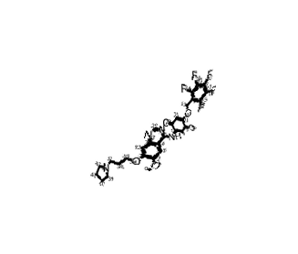 COc1cc2c(NC3=CC(=O)C(OCc4c(F)c(F)c(F)c(F)c4F)=CC3=O)ncnc2cc1OCCCN1CCCC1